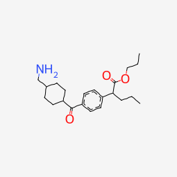 CCCOC(=O)C(CCC)c1ccc(C(=O)C2CCC(CN)CC2)cc1